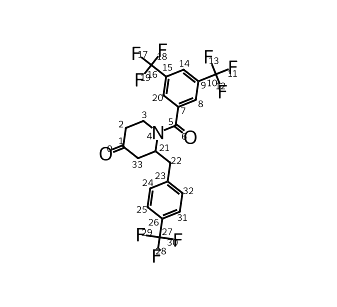 O=C1CCN(C(=O)c2cc(C(F)(F)F)cc(C(F)(F)F)c2)C(Cc2ccc(C(F)(F)F)cc2)C1